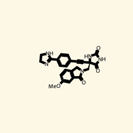 COc1ccc2c(c1)C(=O)N(C[C@@]1(C#Cc3ccc(C4=NCCN4)cc3)NC(=O)NC1=O)C2